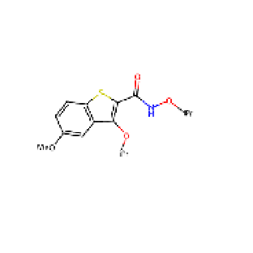 COc1ccc2sc(C(=O)NOC(C)C)c(OC(C)C)c2c1